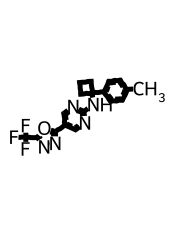 Cc1ccc(C2(Nc3ncc(-c4nnc(C(F)(F)F)o4)cn3)CCC2)cc1